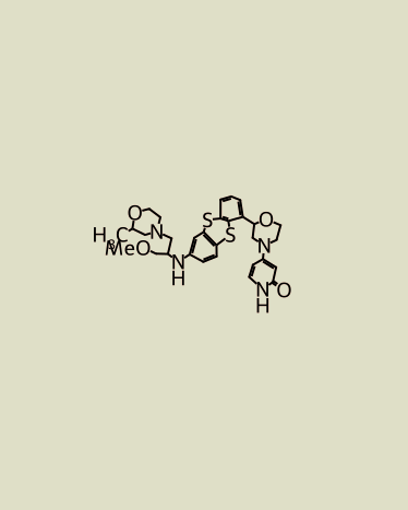 COCC(CN1CCOC(C)C1)Nc1ccc2c(c1)Sc1cccc(C3CN(c4cc[nH]c(=O)c4)CCO3)c1S2